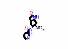 O=C1Cc2cc(NC(=O)c3cccnc3)c([N+](=O)[O-])cc2N1